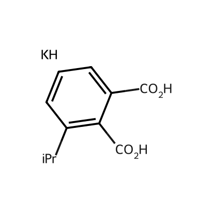 CC(C)c1cccc(C(=O)O)c1C(=O)O.[KH]